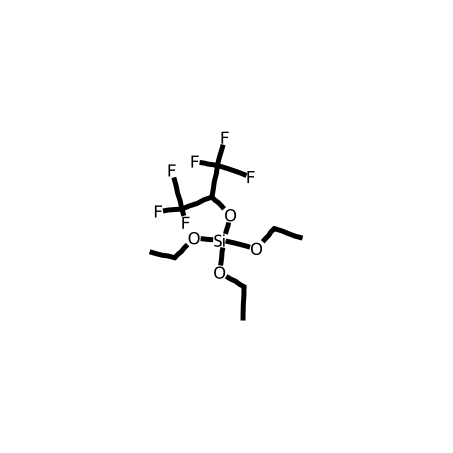 CCO[Si](OCC)(OCC)OC(C(F)(F)F)C(F)(F)F